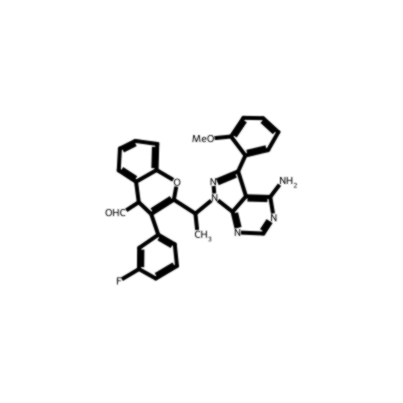 COc1ccccc1-c1nn(C(C)C2=C(c3cccc(F)c3)C(C=O)c3ccccc3O2)c2ncnc(N)c12